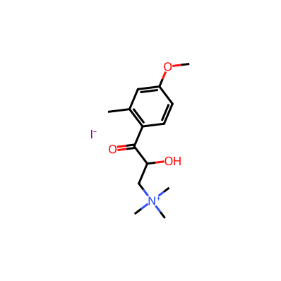 COc1ccc(C(=O)C(O)C[N+](C)(C)C)c(C)c1.[I-]